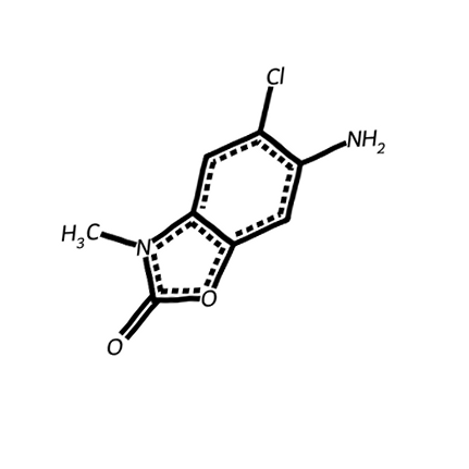 Cn1c(=O)oc2cc(N)c(Cl)cc21